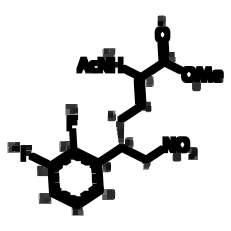 COC(=O)/C(=C/C[C@H](C[N+](=O)[O-])c1cccc(F)c1F)NC(C)=O